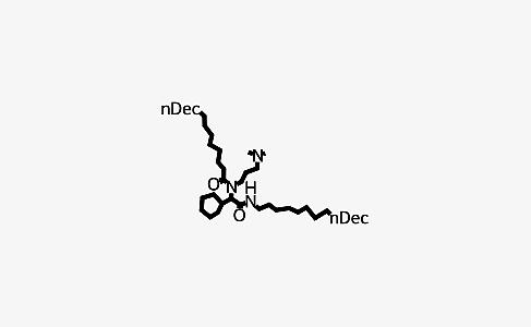 CCCCCCCCCCCCCCCCCCNC(=O)C(C1CCCCC1)N(CCCN(C)C)C(=O)CCCCCCCCCCCCCCCCC